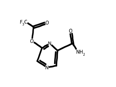 NC(=O)c1cncc(OC(=O)C(F)(F)F)n1